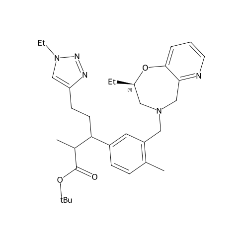 CC[C@@H]1CN(Cc2cc(C(CCc3cn(CC)nn3)C(C)C(=O)OC(C)(C)C)ccc2C)Cc2ncccc2O1